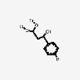 CCOC(CC(C#N)c1ccc(Br)cc1)OCC